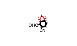 N#Cc1ccc2c(c1C=O)OCO2